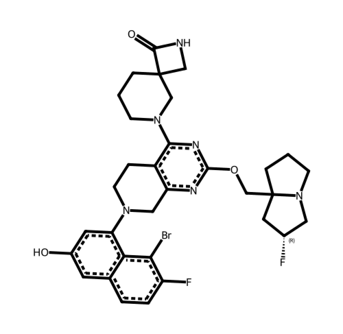 O=C1NCC12CCCN(c1nc(OCC34CCCN3C[C@H](F)C4)nc3c1CCN(c1cc(O)cc4ccc(F)c(Br)c14)C3)C2